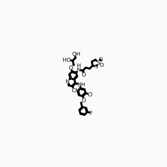 N#Cc1cnc2cc(OCC(O)CO)c(NC(=O)CCC3CCS(=O)(=O)S3)cc2c1Nc1ccc(OCc2cccc(F)c2)c(Cl)c1